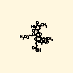 COCCO[C@@H]1[C@H](OC(=O)CCC(=O)O)[C@@H]([C@@H](C)CP(C)(C)=O)O[C@H]1n1cc(C)c(=O)[nH]c1=O